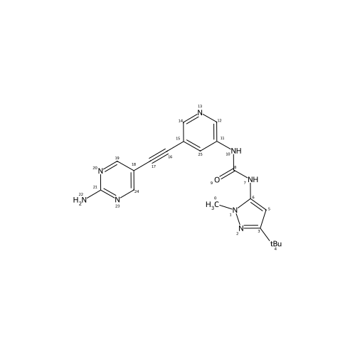 Cn1nc(C(C)(C)C)cc1NC(=O)Nc1cncc(C#Cc2cnc(N)nc2)c1